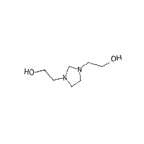 OCCN1CCN(CCO)C1